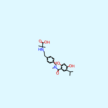 CC(C)c1cc(C(=O)N(C)Cc2ccc(CCNC(C)(C)C(=O)O)cc2)c(O)cc1O